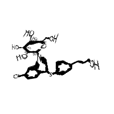 OCCCc1ccc(Sc2cn([C@@H]3O[C@H](CO)[C@@H](O)[C@H](O)[C@H]3O)c3cc(Cl)ccc23)cc1